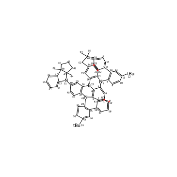 Cc1cc2c3c(c1)N(c1ccc(C(C)(C)C)cc1-c1ccccc1)c1cc4c(cc1B3c1cc(N3c5ccccc5C5(C)CCCC35C)ccc1N2c1ccc(C(C)(C)C)cc1-c1ccccc1)CC(C)(C)C4